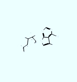 C[C@H](O)[C@H]1O[C@@H](n2cc(F)c3c(N)ncnc32)[C@](C)(O)C1O